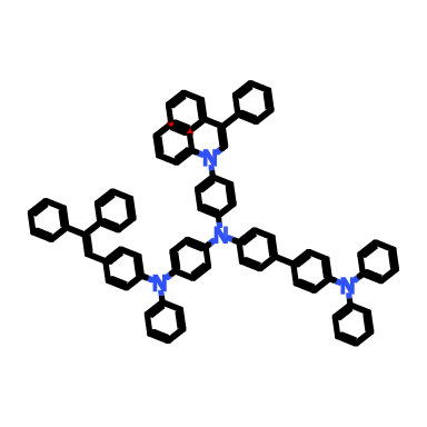 C(=C(c1ccccc1)c1ccccc1)c1ccc(N(c2ccccc2)c2ccc(N(c3ccc(-c4ccc(N(c5ccccc5)c5ccccc5)cc4)cc3)c3ccc(N(C=C(c4ccccc4)c4ccccc4)c4ccccc4)cc3)cc2)cc1